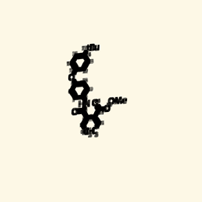 C/C=C(C(=O)Nc1ccc(Oc2ccc(C(C)(C)C)cc2)cc1)\C(=C/C)C(=O)OOC